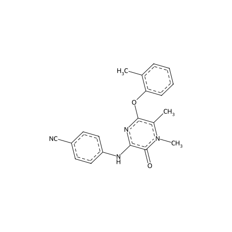 Cc1ccccc1Oc1nc(Nc2ccc(C#N)cc2)c(=O)n(C)c1C